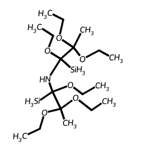 CCOC([SiH3])(NC([SiH3])(OCC)C(C)(OCC)OCC)C(C)(OCC)OCC